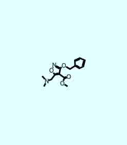 COC(=O)c1c(OCc2ccccc2)noc1CN(C)C